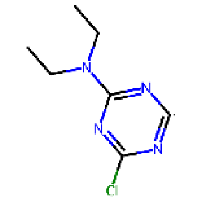 CCN(CC)c1n[c]nc(Cl)n1